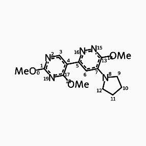 COc1ncc(-c2cc(N3CCCC3)c(OC)nn2)c(OC)n1